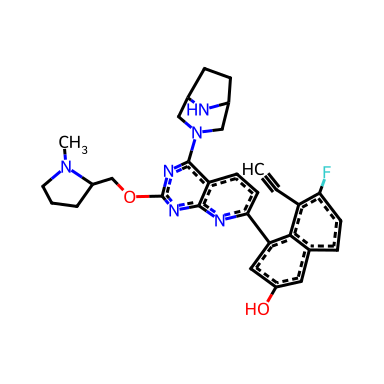 C#Cc1c(F)ccc2cc(O)cc(-c3ccc4c(N5CC6CCC(C5)N6)nc(OCC5CCCN5C)nc4n3)c12